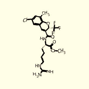 COC(=O)[C@H](CCCCNC(=N)N)NC(=O)C1=Cc2cc(Cl)cc(C)c2O[C@@H]1C(F)(F)F